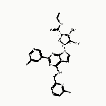 CCNC(=O)[C@H]1O[C@@H](n2cnc3c(NCc4cccc(C)n4)nc(-c4cncc(F)c4)nc32)[C@H](O)[C@@H]1O